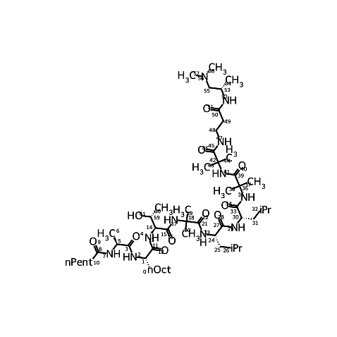 CCCCCCCC[C@H](NC(=O)[C@H](C)NC(=O)CCCCC)C(=O)N[C@H](C(=O)NC(C)(C)C(=O)N[C@@H](CC(C)C)C(=O)N[C@@H](CC(C)C)C(=O)NC(C)(C)C(=O)NC(C)(C)C(=O)NCCC(=O)N[C@@H](C)CN(C)C)[C@@H](C)O